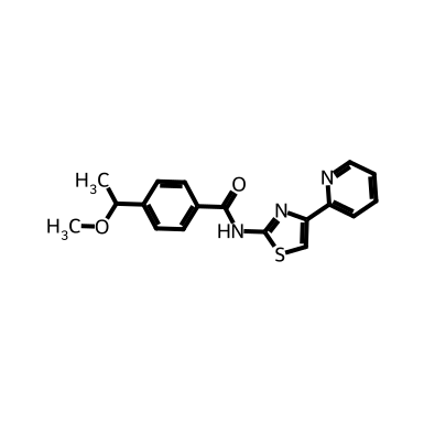 COC(C)c1ccc(C(=O)Nc2nc(-c3ccccn3)cs2)cc1